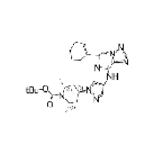 C[C@@H]1C[C@@H](n2cc(Nc3nc(C4=CCCCC4)cn4ncnc34)cn2)C[C@H](C)N1C(=O)OC(C)(C)C